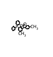 Cc1ccc2c(c1)OC1Oc3c(cc(C)cc3P(c3ccccc3)c3ccccc3)C21